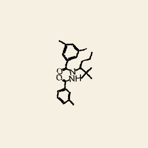 CCCC(N(NC(=O)c1cccc(C)c1)C(=O)c1cc(C)cc(C)c1)C(C)(C)C